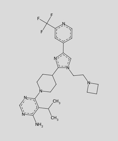 CC(C)c1c(N)ncnc1N1CCC(c2nc(-c3ccnc(C(F)(F)F)c3)cn2CCN2CCC2)CC1